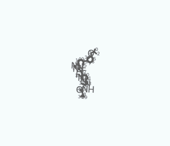 CC(C)Oc1cccc(-c2ccc3nnc(C(F)(F)c4ccc5nc(NC(=O)C6CC6)cn5n4)n3c2)c1